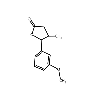 COc1cccc(C2OC(=O)CC2C)c1